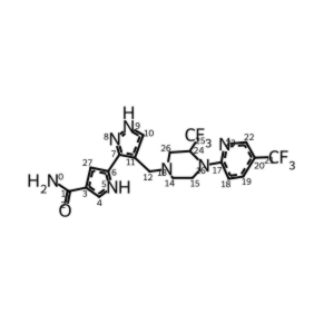 NC(=O)c1c[nH]c(-c2n[nH]cc2CN2CCN(c3ccc(C(F)(F)F)cn3)C(C(F)(F)F)C2)c1